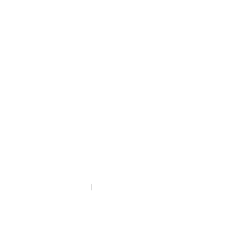 C=CCCc1c[c]ccc1